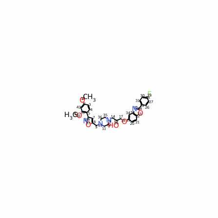 COc1ccc(-c2cc(CN3CCN(C[C@@H](O)COc4ccc5oc(-c6ccc(F)cc6)nc5c4)CC3)on2)c(OC)c1